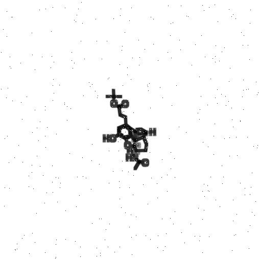 CC(=O)N[C@H]1CCC2[C@@H]3CCC[C@@]24c2c(c(CCC(=O)OC(C)(C)C)cc(O)c2O[C@@H]14)C3